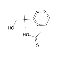 CC(=O)O.CC(C)(CO)c1ccccc1